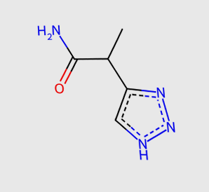 CC(C(N)=O)c1c[nH]nn1